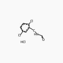 Cl.O=CNCc1cc(Cl)ccc1Cl